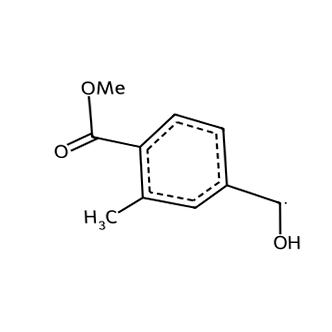 COC(=O)c1ccc([CH]O)cc1C